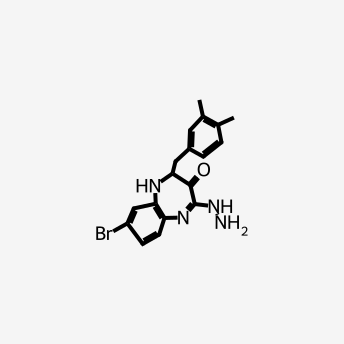 Cc1ccc(CC2Nc3cc(Br)ccc3N=C(NN)C2=O)cc1C